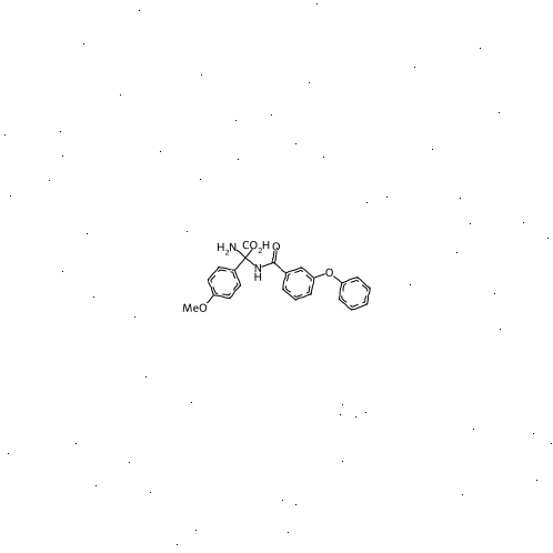 COc1ccc(C(N)(NC(=O)c2cccc(Oc3ccccc3)c2)C(=O)O)cc1